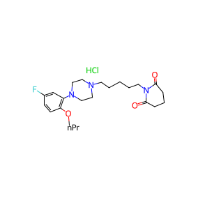 CCCOc1ccc(F)cc1N1CCN(CCCCCN2C(=O)CCCC2=O)CC1.Cl